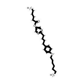 CCCCCCCOc1ccc(CCCCc2ncc(OC(=O)CCCCC)cn2)cc1